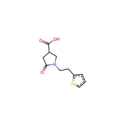 O=C(O)C1CC(=O)N(CCc2cccs2)C1